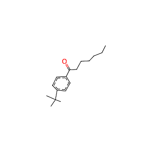 CCCCCCC(=O)c1ccc(C(C)(C)C)cc1